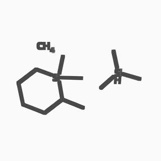 C.CC1CCCC[Si]1(C)C.C[SiH](C)C